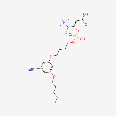 CCCCCOc1cc(C#N)cc(OCCCCOP(=O)(O)O[C@H](CC(=O)O)C([O-])[N+](C)(C)C)c1